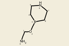 NCOB1CCNCC1